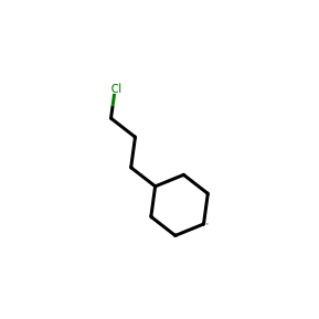 ClCCCC1CC[CH]CC1